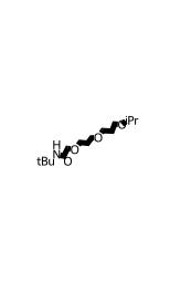 CC(C)OCCCOCCCOCC(=O)NC(C)(C)C